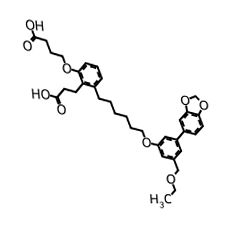 CCOCc1cc(OCCCCCCc2cccc(OCCCC(=O)O)c2CCC(=O)O)cc(-c2ccc3c(c2)OCO3)c1